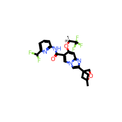 C[C@@H](Oc1cc2nc(C34COC(C)(C3)C4)cn2cc1C(=O)Nc1cccc(C(F)F)n1)C(F)(F)F